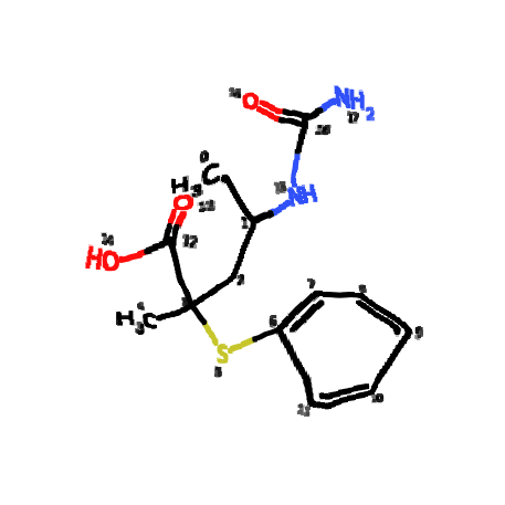 CC(CC(C)(Sc1ccccc1)C(=O)O)NC(N)=O